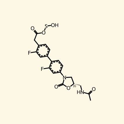 CC(=O)NC[C@H]1CN(c2ccc(-c3ccc(CC(=O)OSO)c(F)c3)c(F)c2)C(=O)O1